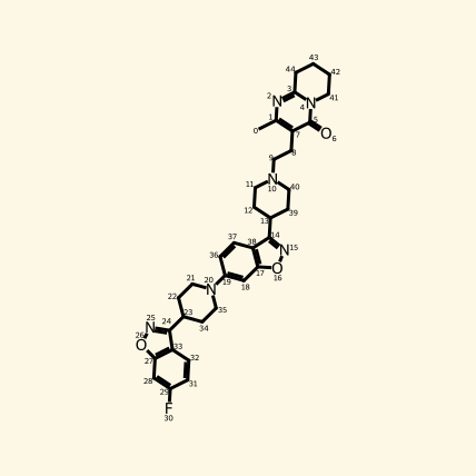 Cc1nc2n(c(=O)c1CCN1CCC(c3noc4cc(N5CCC(c6noc7cc(F)ccc67)CC5)ccc34)CC1)CCCC2